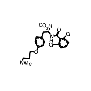 CNCCCOc1ccc(C[C@H](NC(=O)c2c(Cl)cccc2Cl)C(=O)O)cc1